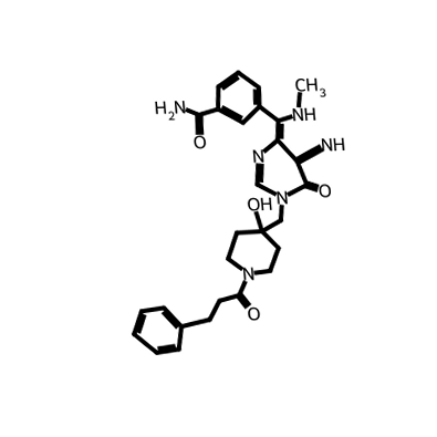 CN/C(=C1/N=CN(CC2(O)CCN(C(=O)CCc3ccccc3)CC2)C(=O)C1=N)c1cccc(C(N)=O)c1